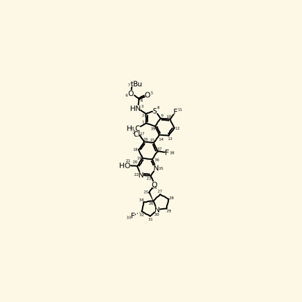 Cc1c(NC(=O)OC(C)(C)C)sc2c(F)ccc(-c3c(Cl)cc4c(O)nc(OC[C@@]56CCCN5C[C@H](F)C6)nc4c3F)c12